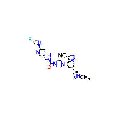 Cn1cc(-c2cc(N3CCN(C(=O)NCc4ccc(-n5cc(F)cn5)nc4)CC3)c3c(C#N)cnn3c2)cn1